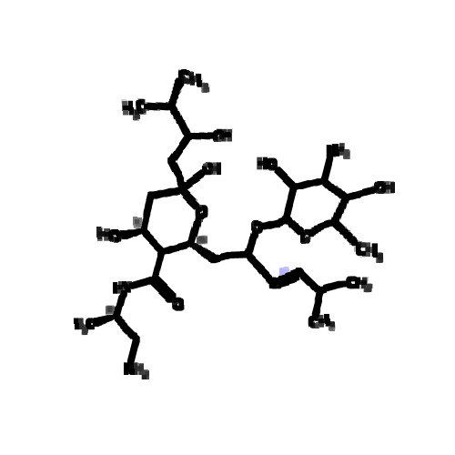 CC(C)/C=C/C(C[C@@H]1OC(O)(CC(O)C(C)C)C[C@H](O)C1C(=O)N[C@H](C)CN)OC1OC(C)C(O)C(N)C1O